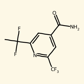 CC(F)(F)c1cc(C(N)=O)cc(C(F)(F)F)n1